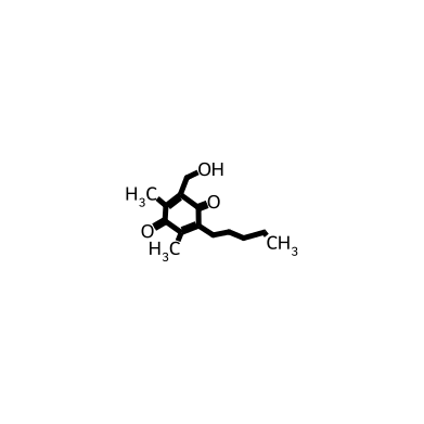 CCCCCC1=C(C)C(=O)C(C)=C(CO)C1=O